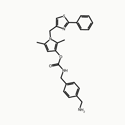 Cc1cc(OC(=O)NCc2ccc(CN)cc2)c(C)n1Cc1csc(-c2ccccc2)n1